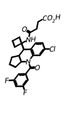 O=C(O)CCC(=O)NC1(C2c3ccc(Cl)cc3N(C(=O)c3cc(F)cc(F)c3)C3CCCC32)CCC1